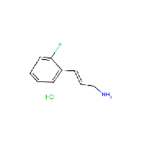 Cl.NCC=Cc1ccccc1F